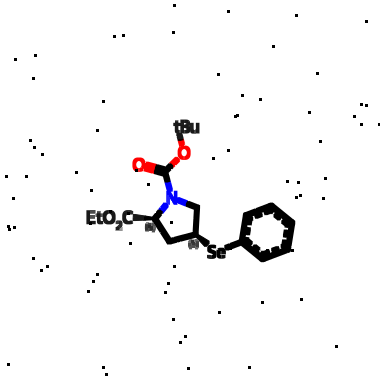 CCOC(=O)[C@@H]1C[C@H]([Se]c2ccccc2)CN1C(=O)OC(C)(C)C